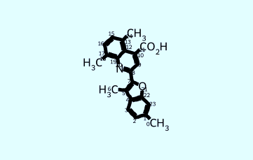 Cc1ccc2c(C)c(-c3cc(C(=O)O)c4c(C)ccc(C)c4n3)oc2c1